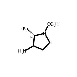 CC(C)(C)[C@H]1C(N)CCN1C(=O)O